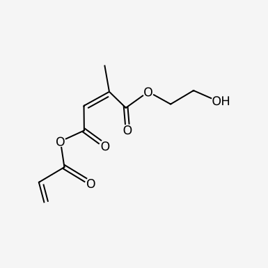 C=CC(=O)OC(=O)/C=C(/C)C(=O)OCCO